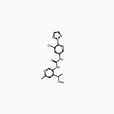 COC(C)c1cc(C)ncc1NC(=O)Nc1cnc(-n2nccn2)c(Cl)c1